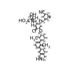 Cc1c(COc2cc(OCc3cncc(C#N)c3)c(CNC(C)(CO)C(=O)O)cc2Cl)cccc1-c1cccc(-c2ccc3c(c2)CNCC3)c1C